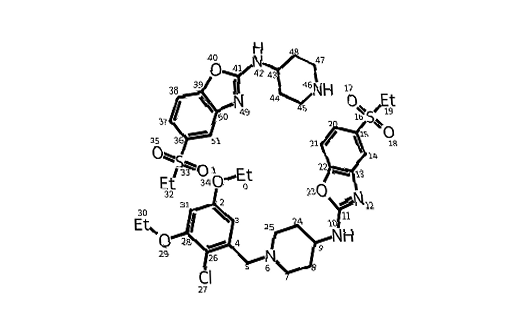 CCOc1cc(CN2CCC(Nc3nc4cc(S(=O)(=O)CC)ccc4o3)CC2)c(Cl)c(OCC)c1.CCS(=O)(=O)c1ccc2oc(NC3CCNCC3)nc2c1